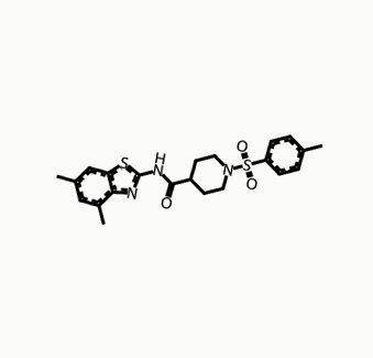 Cc1ccc(S(=O)(=O)N2CCC(C(=O)Nc3nc4c(C)cc(C)cc4s3)CC2)cc1